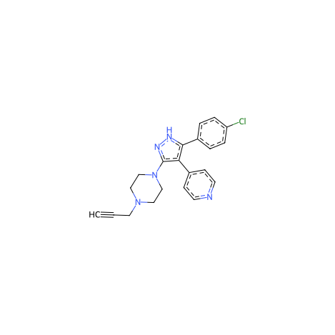 C#CCN1CCN(c2n[nH]c(-c3ccc(Cl)cc3)c2-c2ccncc2)CC1